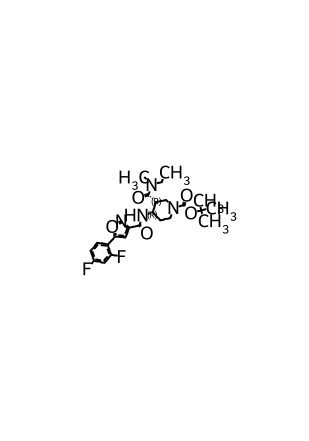 CCN(C)C(=O)[C@@H]1CN(C(=O)OC(C)(C)C)CC[C@H]1NC(=O)c1cc(-c2ccc(F)cc2F)on1